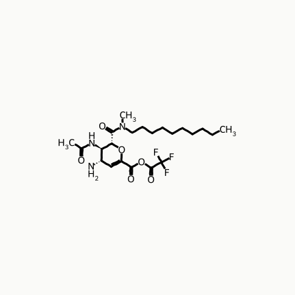 CCCCCCCCCCN(C)C(=O)[C@@H]1OC(C(=O)OC(=O)C(F)(F)F)=C[C@H](N)[C@H]1NC(C)=O